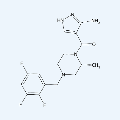 C[C@@H]1CN(Cc2cc(F)cc(F)c2F)CCN1C(=O)c1c[nH]nc1N